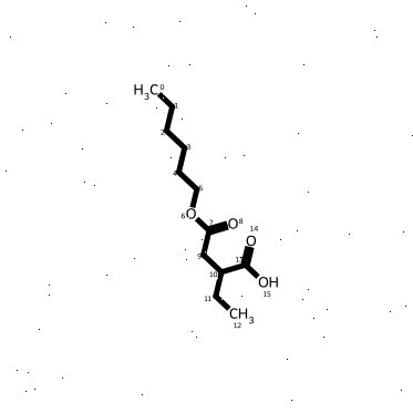 CCCCCCOC(=O)CC(CC)C(=O)O